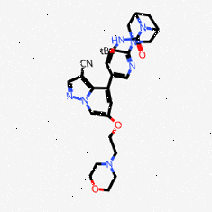 CC(C)(C)NC(=O)N1C2CC1CN(c1ccc(-c3cc(OCCN4CCOCC4)cn4ncc(C#N)c34)cn1)C2